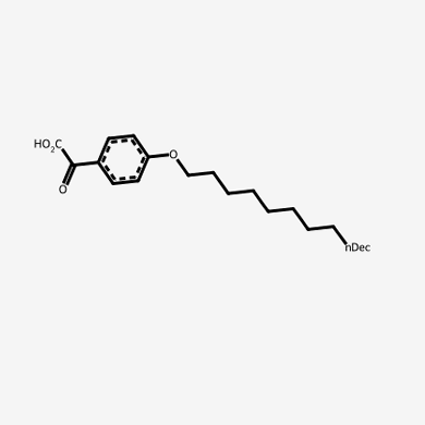 CCCCCCCCCCCCCCCCCCOc1ccc(C(=O)C(=O)O)cc1